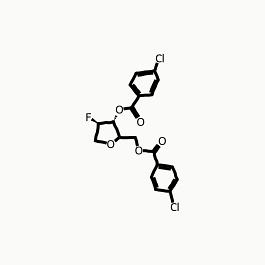 O=C(OCC1OC[C@@H](F)[C@@H]1OC(=O)c1ccc(Cl)cc1)c1ccc(Cl)cc1